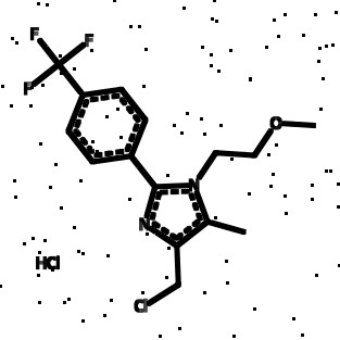 COCCn1c(-c2ccc(C(F)(F)F)cc2)nc(CCl)c1C.Cl